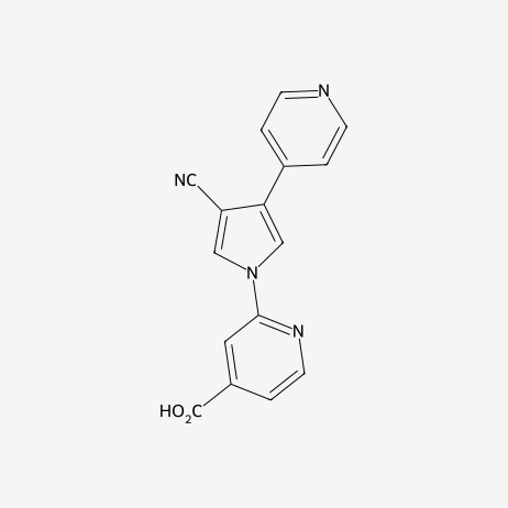 N#Cc1cn(-c2cc(C(=O)O)ccn2)cc1-c1ccncc1